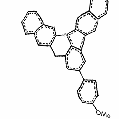 COc1ccc(-c2cc3c4c(c2)c2cc5ccccc5cc2n4-c2cc4ccccc4cc2C3)cc1